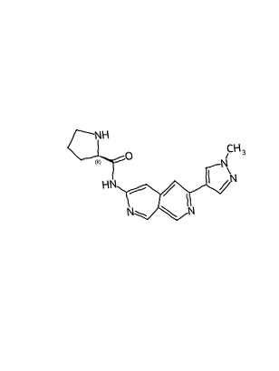 Cn1cc(-c2cc3cc(NC(=O)[C@H]4CCCN4)ncc3cn2)cn1